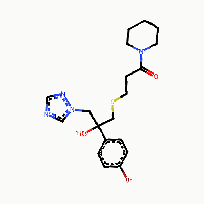 O=C(CCSCC(O)(Cn1cncn1)c1ccc(Br)cc1)N1CCCCC1